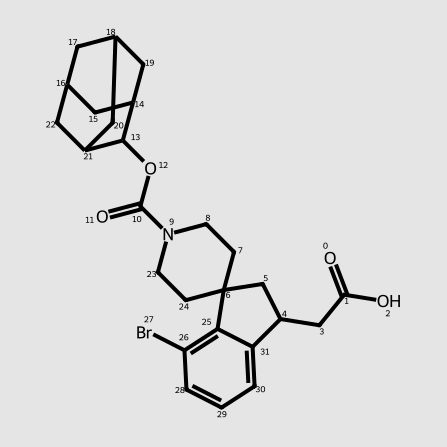 O=C(O)CC1CC2(CCN(C(=O)OC3C4CC5CC(C4)CC3C5)CC2)c2c(Br)cccc21